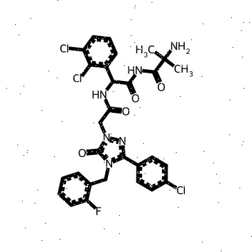 CC(C)(N)C(=O)NC(=O)C(NC(=O)Cn1nc(-c2ccc(Cl)cc2)n(Cc2ccccc2F)c1=O)c1cccc(Cl)c1Cl